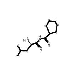 CC(C)C[C@H](N)C(=O)NC(=O)C1CCCCC1